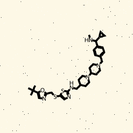 CNC(c1ccc(CN2CCC(N3CCC(CNc4ncc(SCc5ncc(C(C)(C)C)o5)s4)CC3)CC2)cc1)C1CC1